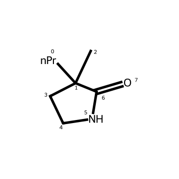 CCCC1(C)CCNC1=O